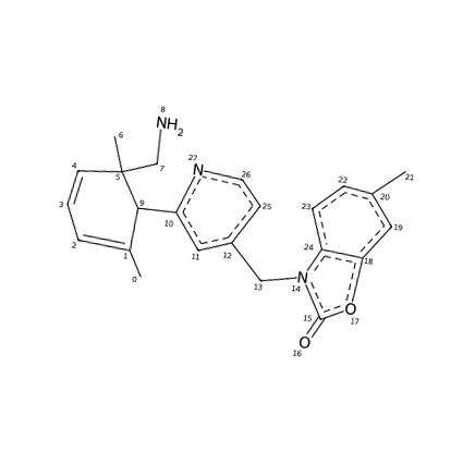 CC1=CC=CC(C)(CN)C1c1cc(Cn2c(=O)oc3cc(C)ccc32)ccn1